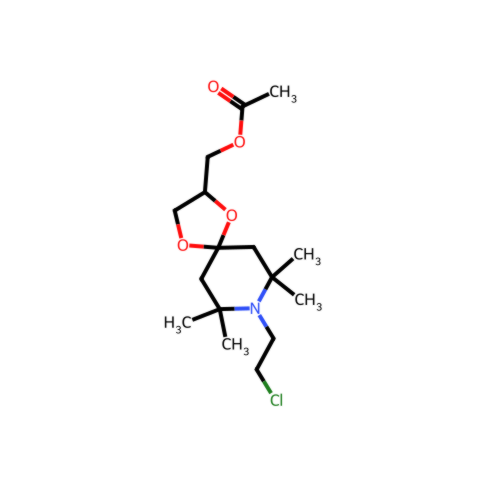 CC(=O)OCC1COC2(CC(C)(C)N(CCCl)C(C)(C)C2)O1